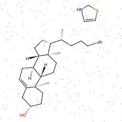 C1=CSCN1.CC(C)CCC[C@@H](C)[C@H]1CC[C@H]2[C@@H]3CC=C4C[C@@H](O)CC[C@]4(C)[C@H]3CC[C@]12C